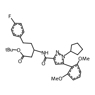 COc1cccc(OC)c1-c1cc(C(=O)NC(CCc2ccc(F)cc2)CC(=O)OC(C)(C)C)nn1C1CCCC1